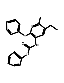 CCc1cc(NC(=O)Oc2ccccc2)c(Oc2ccccc2)nc1C